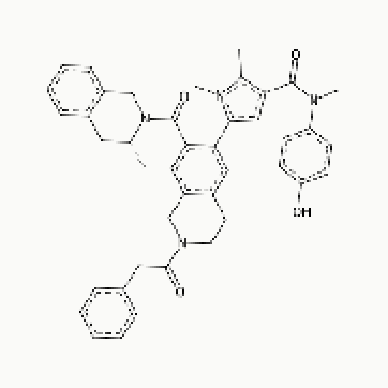 Cc1c(C(=O)N(C)c2ccc(O)cc2)cc(-c2cc3c(cc2C(=O)N2Cc4ccccc4C[C@H]2C)CN(C(=O)Cc2ccccc2)CC3)n1C